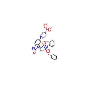 COC(OC)C1CCN(c2ccc3c(c2)n(-c2ccc(OCc4ccccc4)nc2OCc2ccccc2)c(=O)n3C)CC1